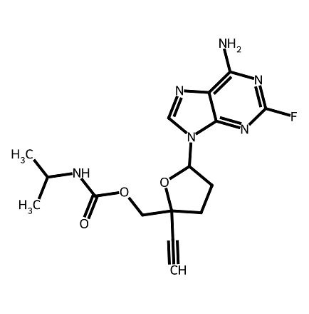 C#CC1(COC(=O)NC(C)C)CCC(n2cnc3c(N)nc(F)nc32)O1